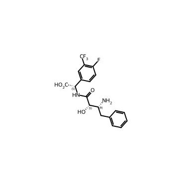 N[C@H](Cc1ccccc1)[C@H](O)C(=O)N[C@H](C(=O)O)c1ccc(F)c(C(F)(F)F)c1